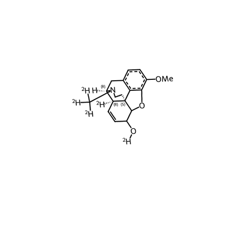 [2H]OC1C=C[C@@]2([2H])[C@H]3Cc4ccc(OC)c5c4[C@@]2(CCN3C([2H])([2H])[2H])C1O5